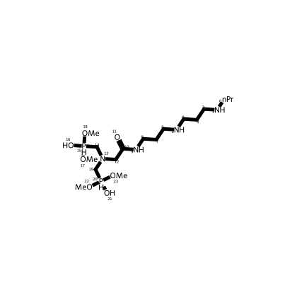 CCCNCCCNCCCNC(=O)CN(C[PH](O)(OC)OC)C[PH](O)(OC)OC